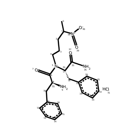 CC(CCCN(C(=O)[C@@H](N)Cc1ccccc1)[C@@H](Cc1ccccc1)C(N)=O)[N+](=O)[O-].Cl